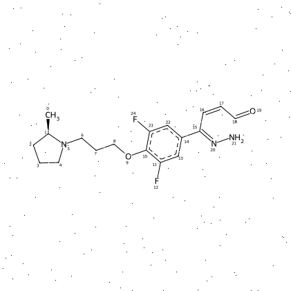 C[C@@H]1CCCN1CCCOc1c(F)cc(C(/C=C\C=O)=N/N)cc1F